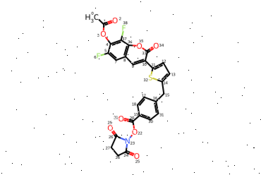 CC(=O)Oc1c(F)cc2cc(-c3ccc(Cc4ccc(C(=O)ON5C(=O)CCC5=O)cc4)s3)c(=O)oc2c1F